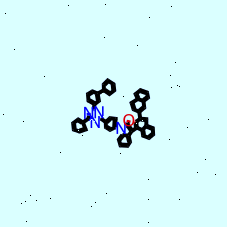 c1ccc(-c2cccc(-c3nc(-c4ccccc4)nc(-c4ccc(-n5c6ccccc6c6c7c(oc65)c(-c5ccc6ccccc6c5)cc5ccccc57)cc4)n3)c2)cc1